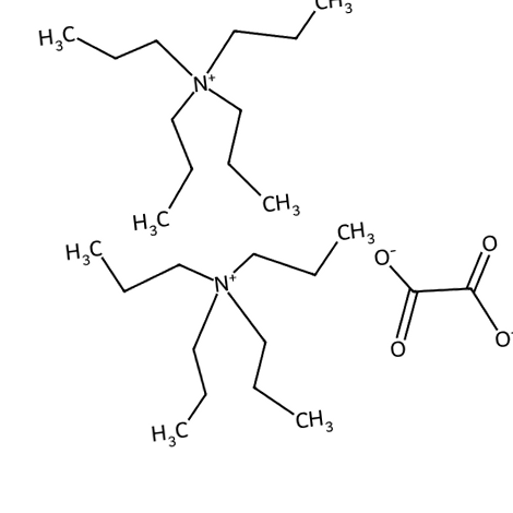 CCC[N+](CCC)(CCC)CCC.CCC[N+](CCC)(CCC)CCC.O=C([O-])C(=O)[O-]